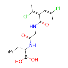 C/C(Cl)=C(\C=C(/C)Cl)C(=O)NCC(=O)N[C@@H](CC(C)C)B(O)O